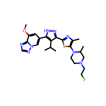 COc1cc(-c2[nH]nc(-c3nc(C)c(N4CCN(CCF)CC4C)s3)c2C(C)C)cn2ncnc12